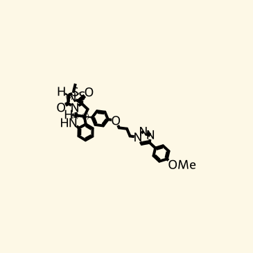 COc1ccc(-c2cn(CCCOc3ccc([C@]45CC67SS[C@@H](C(=O)N6[C@H]4Nc4ccccc45)N(C)C7=O)cc3)nn2)cc1